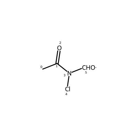 CC(=O)N(Cl)[C]=O